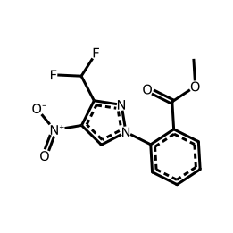 COC(=O)c1ccccc1-n1cc([N+](=O)[O-])c(C(F)F)n1